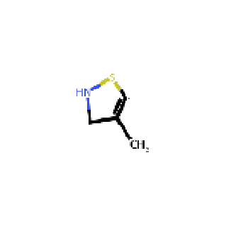 CC1=[C]SNC1